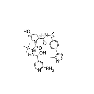 Bc1cc(C(O)N[C@H](C(=O)N2C[C@H](O)C[C@H]2C(=O)N[C@@H](C)c2ccc(-c3scnc3C)cc2)C(C)(C)C)ccn1